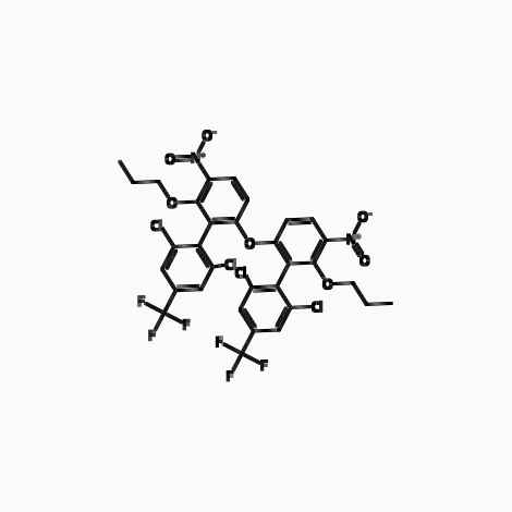 CCCOc1c([N+](=O)[O-])ccc(Oc2ccc([N+](=O)[O-])c(OCCC)c2-c2c(Cl)cc(C(F)(F)F)cc2Cl)c1-c1c(Cl)cc(C(F)(F)F)cc1Cl